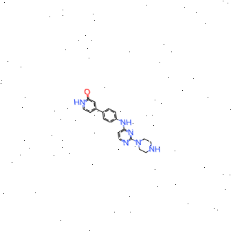 O=c1cc(-c2ccc(Nc3ccnc(N4CCNCC4)n3)cc2)cc[nH]1